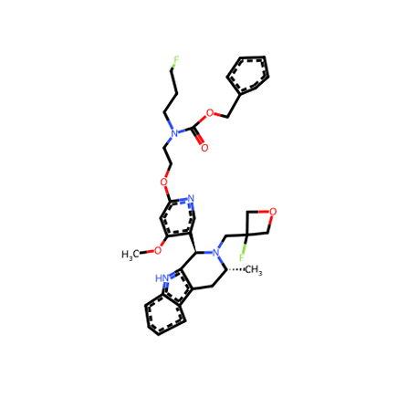 COc1cc(OCCN(CCCF)C(=O)OCc2ccccc2)ncc1[C@@H]1c2[nH]c3ccccc3c2C[C@@H](C)N1CC1(F)COC1